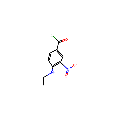 CCNc1ccc(C(=O)Cl)cc1[N+](=O)[O-]